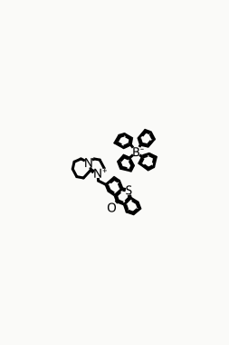 O=c1c2ccccc2sc2ccc(C[N+]3=C4CCCCCN4CCC3)cc12.c1ccc([B-](c2ccccc2)(c2ccccc2)c2ccccc2)cc1